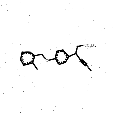 CC#CC(CC(=O)OCC)c1ccc(OCc2ccccc2C)cc1